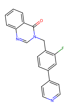 O=c1c2ccccc2ncn1Cc1ccc(-c2ccncc2)cc1F